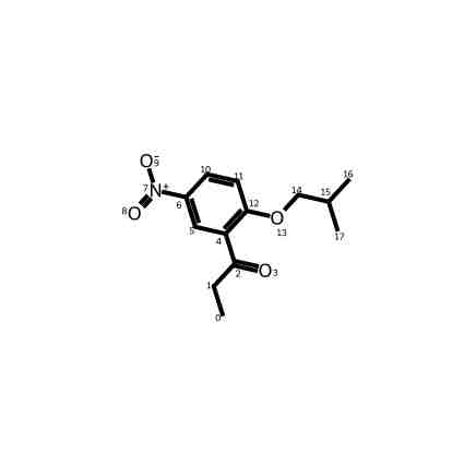 CCC(=O)c1cc([N+](=O)[O-])ccc1OCC(C)C